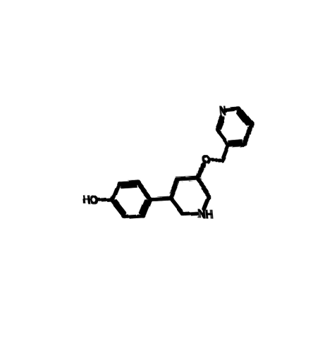 Oc1ccc(C2CNCC(OCc3cccnc3)C2)cc1